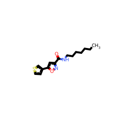 CCCCCCCNC(=O)c1cc(-c2ccsc2)on1